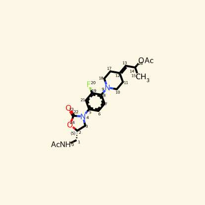 CC(=O)NC[C@H]1CN(c2ccc(N3CCC(=CC(C)OC(C)=O)CC3)c(F)c2)C(=O)O1